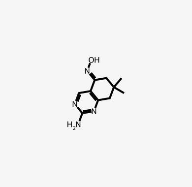 CC1(C)CC(=NO)c2cnc(N)nc2C1